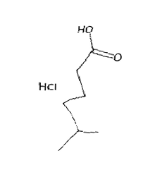 CC(C)CCCC(=O)O.Cl